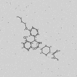 CCCCOc1cccc(C(NC(=O)[C@H]2CC[C@@H](C(=O)OC)CC2)c2nccnc2Cl)c1